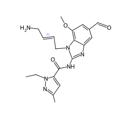 CCn1nc(C)cc1C(=O)Nc1nc2cc(C=O)cc(OC)c2n1C/C=C/CN